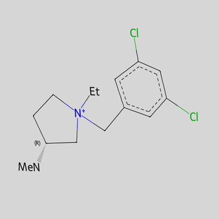 CC[N+]1(Cc2cc(Cl)cc(Cl)c2)CC[C@@H](NC)C1